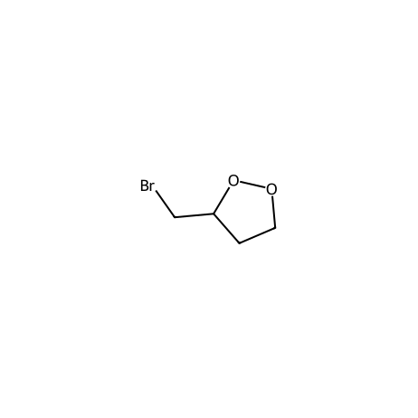 BrCC1CCOO1